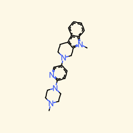 CN1CCN(c2ccc(N3CCc4c(n(C)c5ccccc45)C3)cn2)CC1